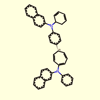 C1=CCC(N(c2ccc([C@@H]3C=CC=C(N(c4ccccc4)c4ccc5ccccc5c4)C=C3)cc2)c2ccc3ccccc3c2)C=C1